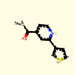 COC(=O)c1ccnc(-c2ccsc2)c1